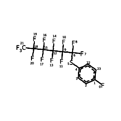 Fc1ccc(SC(F)(F)C(F)(F)C(F)(F)C(F)(F)C(F)(F)C(F)(F)F)cc1